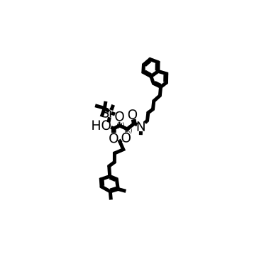 Cc1ccc(CCCCCO[C@@H](C(=O)N(C)CCCCCc2ccc3ccccc3c2)[C@@H](O[Si](C)(C)C(C)(C)C)C(=O)O)cc1C